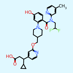 Cc1ccnc(N(CC(F)F)C(=O)c2ccc(O)cc2N2CCC(COc3cc(C(CC(=O)O)C4CC4)ccn3)CC2)c1